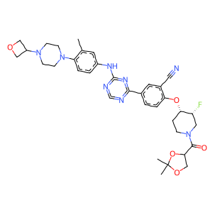 Cc1cc(Nc2ncnc(-c3ccc(O[C@H]4CCN(C(=O)C5COC(C)(C)O5)C[C@H]4F)c(C#N)c3)n2)ccc1N1CCN(C2COC2)CC1